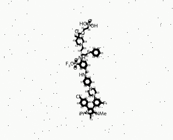 CNc1c(-c2cc(F)cc(N3CCN(c4ccc(NSc5ccc(N[C@H](CCN6CCC(C)(C(=O)OCCP(=O)(O)O)CC6)CSc6ccccc6)c(S(=O)(=O)C(F)(F)F)c5)cc4)CC3)c2)c(-c2ccc(Cl)cc2)n(C(C)C)c1C